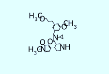 COCCCc1cc(CN(C(=O)C2CNCC[C@@H]2c2ccn(C)c(=O)c2)C2CC2)cc(OC)c1